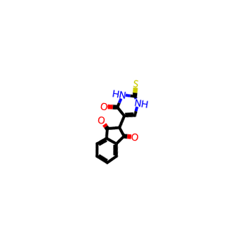 O=C1c2ccccc2C(=O)C1c1c[nH]c(=S)[nH]c1=O